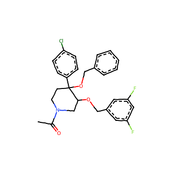 CC(=O)N1CCC(OCc2ccccc2)(c2ccc(Cl)cc2)C(OCc2cc(F)cc(F)c2)C1